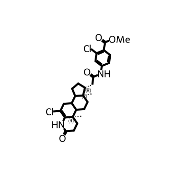 COC(=O)c1ccc(NC(=O)C[C@H]2CCC3C4CC(Cl)=C5NC(=O)CC[C@]5(C)C4CC[C@@]32C)cc1Cl